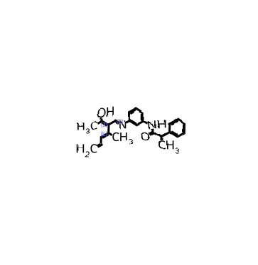 C=C/C=C(C)/C(/C=N/c1cccc(NC(=O)C(C)c2ccccc2)c1)=C(\C)O